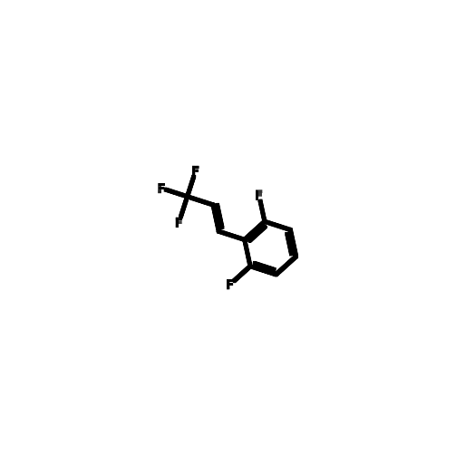 Fc1cccc(F)c1/C=C/C(F)(F)F